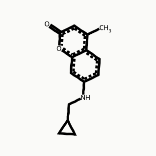 Cc1cc(=O)oc2cc(NCC3CC3)ccc12